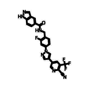 N#Cc1ncc(-c2cnn(-c3ccc(CNC(=O)c4ccc5[nH]ncc5c4)c(F)c3)c2)cc1C(F)(F)F